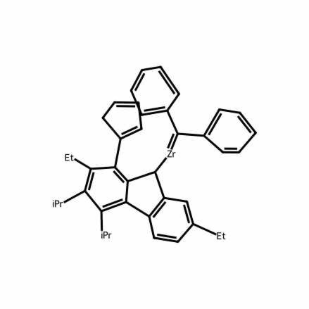 CCc1ccc2c(c1)[CH]([Zr]=[C](c1ccccc1)c1ccccc1)c1c(C3=CC=CC3)c(CC)c(C(C)C)c(C(C)C)c1-2